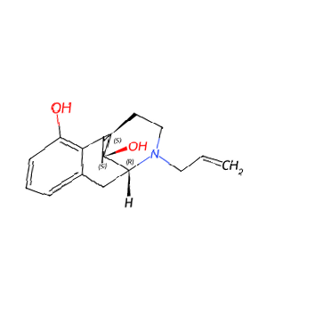 C=CCN1CC[C@]23CCCC[C@@]2(O)[C@H]1Cc1cccc(O)c13